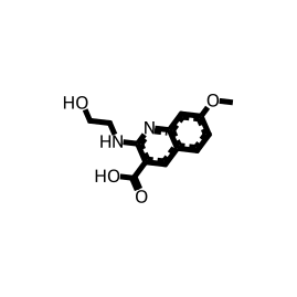 COc1ccc2cc(C(=O)O)c(NCCO)nc2c1